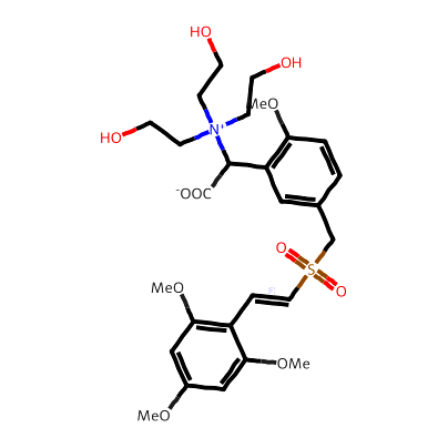 COc1cc(OC)c(/C=C/S(=O)(=O)Cc2ccc(OC)c(C(C(=O)[O-])[N+](CCO)(CCO)CCO)c2)c(OC)c1